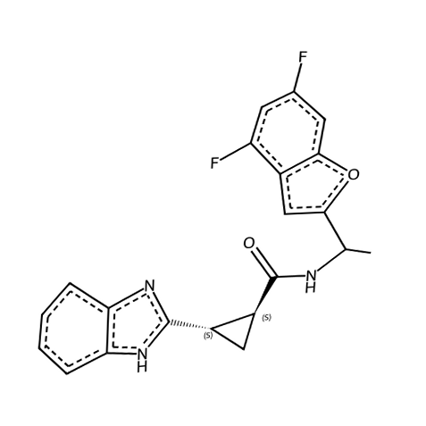 CC(NC(=O)[C@H]1C[C@@H]1c1nc2ccccc2[nH]1)c1cc2c(F)cc(F)cc2o1